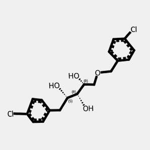 O[C@@H]([C@H](O)COCc1ccc(Cl)cc1)[C@@H](O)Cc1ccc(Cl)cc1